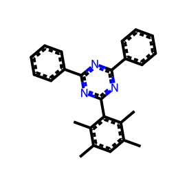 Cc1cc(C)c(C)c(-c2nc(-c3ccccc3)nc(-c3ccccc3)n2)c1C